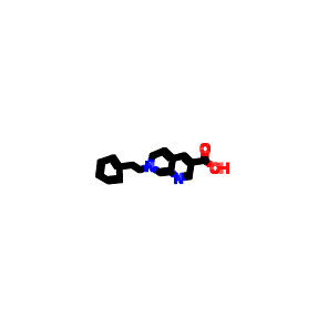 O=C(O)c1cnc2c(c1)=CCN(CCc1ccccc1)C=2